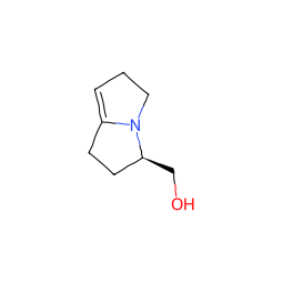 OC[C@H]1CCC2=CCCN21